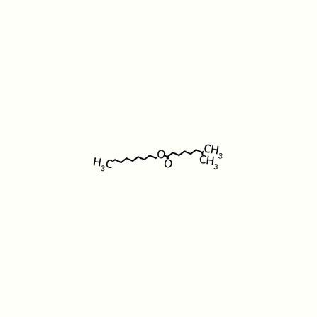 CCCCCCCCCOC(=O)CCCCCC(C)C